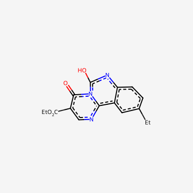 CCOC(=O)c1cnc2c3cc(CC)ccc3nc(O)n2c1=O